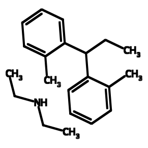 CCC(c1ccccc1C)c1ccccc1C.CCNCC